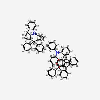 c1ccc(-c2ccccc2-c2ccccc2N(c2cccc(-c3ccc4c(c3)C3(c5ccccc5-4)c4ccccc4-n4c5ccccc5c5cccc3c54)c2)c2ccc3c(c2)C(c2ccccc2)(c2ccccc2)c2ccccc2-3)cc1